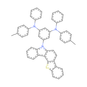 Cc1ccc(N(c2ccccc2)c2cc(N(c3ccccc3)c3ccc(C)cc3)cc(-n3c4ccccc4c4c5sc6ccccc6c5ccc43)c2)cc1